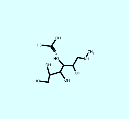 CNCC(O)C(O)C(O)C(O)CO.OC(=S)S